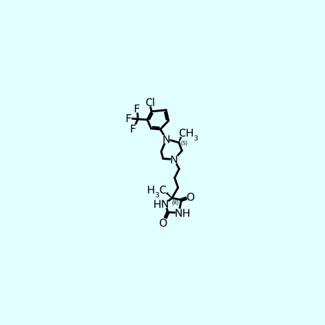 C[C@H]1CN(CCC[C@@]2(C)NC(=O)NC2=O)CCN1c1ccc(Cl)c(C(F)(F)F)c1